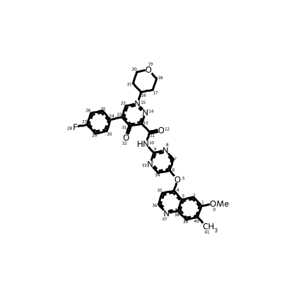 COc1cc2c(Oc3cnc(NC(=O)c4nn(C5CCOCC5)cc(-c5ccc(F)cc5)c4=O)nc3)ccnc2cc1C